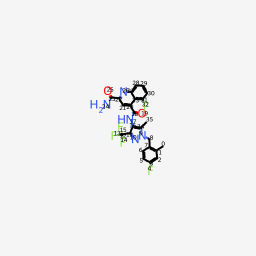 Cc1cc(F)ccc1Cn1nc(C(F)(F)F)c(NC(=O)c2cc(C(N)=O)nc3cccc(F)c23)c1C